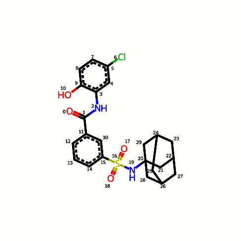 O=C(Nc1cc(Cl)ccc1O)c1cccc(S(=O)(=O)NC23CC4CC(CC(C4)C2)C3)c1